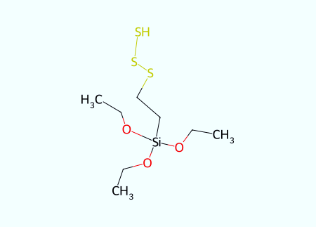 CCO[Si](CCSSS)(OCC)OCC